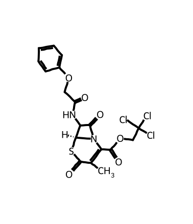 CC1=C(C(=O)OCC(Cl)(Cl)Cl)N2C(=O)C(NC(=O)COc3ccccc3)[C@@H]2SC1=O